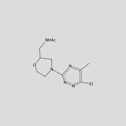 CC(=O)NCC1CN(c2nnc(Cl)c(C)n2)CCO1